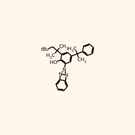 CC(C)(C)CC(C)(C)c1cc(C(C)(C)c2ccccc2)cc(-n2n3c4ccccc4n23)c1O